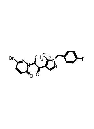 Cc1c(C(=O)C(C)n2nc(Br)ccc2=O)cnn1Cc1ccc(F)cc1